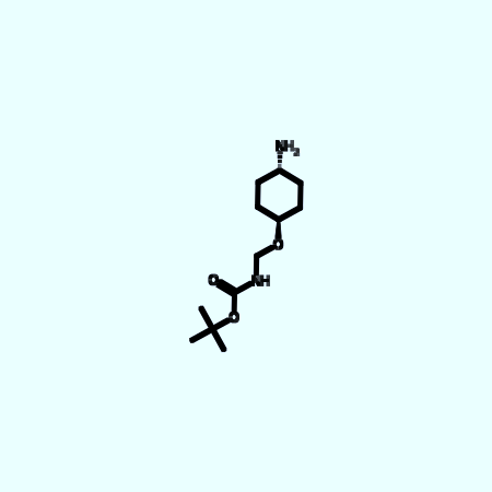 CC(C)(C)OC(=O)NCO[C@H]1CC[C@H](N)CC1